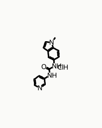 Cl.Cn1ccc2cc(NC(=O)Nc3cccnc3)ccc21